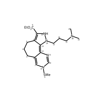 CCOC(=O)C1=C2CCCC3=CN(SC)C=NC3=C2N(CCCN(C)C)N1